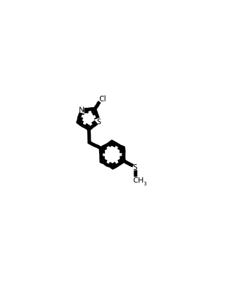 CSc1ccc(Cc2cnc(Cl)s2)cc1